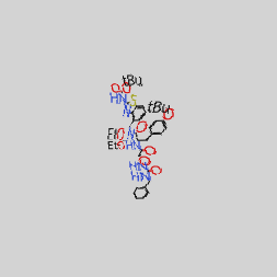 CCOC(CN(Cc1cccc2sc(NC(=O)OC(C)(C)C)nc12)C(=O)C(Cc1ccc(OC(C)(C)C)cc1)NC(=O)CONC(=O)NCc1ccccc1)OCC